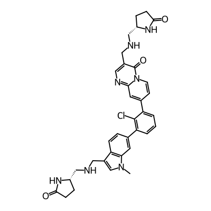 Cn1cc(CNC[C@@H]2CCC(=O)N2)c2ccc(-c3cccc(-c4ccn5c(=O)c(CNC[C@@H]6CCC(=O)N6)cnc5c4)c3Cl)cc21